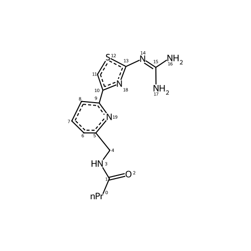 CCCC(=O)NCc1cccc(-c2csc(N=C(N)N)n2)n1